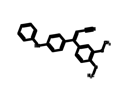 COc1ccc(/C(=C\C#N)c2ccc(Nc3ccccc3)cc2)cc1OC